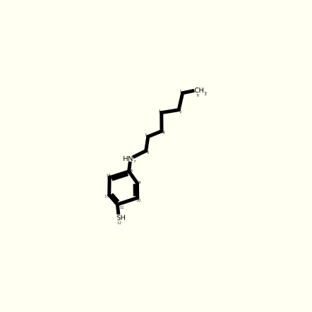 CCCCCCCNc1ccc(S)cc1